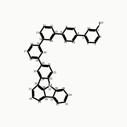 Fc1cccc(-c2ccc(-c3cccc(-c4cccc(-c5ccc6c(c5)c5cccc7c8ccccc8n6c75)c4)c3)cc2)c1